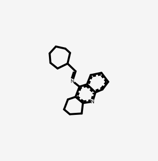 C(=Nc1c2c(nc3ccccc13)CCCC2)C1CCCCCC1